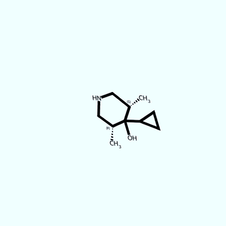 C[C@@H]1CNC[C@H](C)C1(O)C1CC1